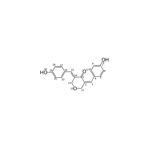 O=C1/C(=C\c2ccc(O)cc2)COC/C1=C\c1ccc(O)cc1